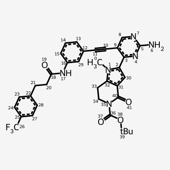 Cn1c(-c2nc(N)ncc2C#Cc2cccc(NC(=O)CCc3ccc(C(F)(F)F)cc3)c2)cc2c1CCN(C(=O)OC(C)(C)C)C2=O